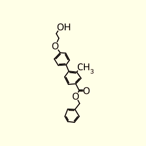 Cc1cc(C(=O)OCc2ccccc2)ccc1-c1ccc(OCCO)cc1